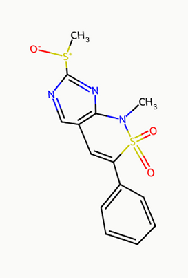 CN1c2nc([S+](C)[O-])ncc2C=C(c2ccccc2)S1(=O)=O